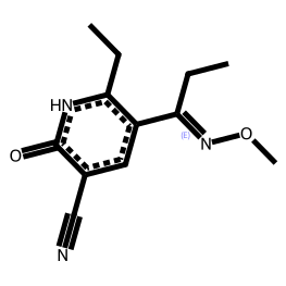 CC/C(=N\OC)c1cc(C#N)c(=O)[nH]c1CC